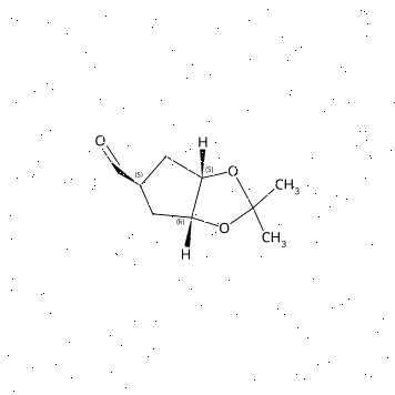 CC1(C)O[C@H]2C[C@H](C=O)C[C@H]2O1